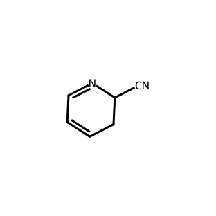 N#CC1CC=CC=N1